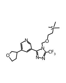 C[Si](C)(C)CCOCn1c(-c2cncc(C3CCOC3)c2)nnc1C(F)(F)F